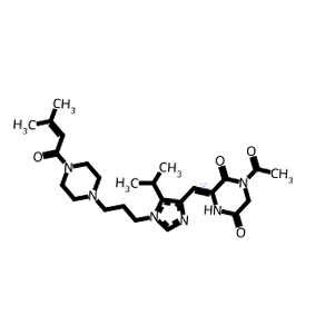 CC(=O)N1CC(=O)N/C(=C\c2ncn(CCCN3CCN(C(=O)C=C(C)C)CC3)c2C(C)C)C1=O